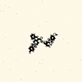 COc1ccc(S(=O)(=O)c2cc(CNOC(=O)[C@H](Cc3ccccc3)C3CCN(S(=O)(=O)c4ccc(C)cc4)CC3)ccn2)cc1